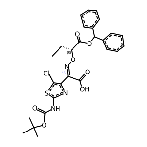 CC[C@@H](O/N=C(\C(=O)O)c1nc(NC(=O)OC(C)(C)C)sc1Cl)C(=O)OC(c1ccccc1)c1ccccc1